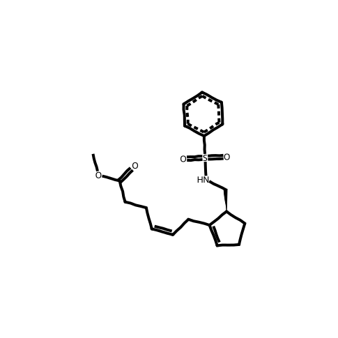 COC(=O)CC/C=C\CC1=CCC[C@@H]1CNS(=O)(=O)c1ccccc1